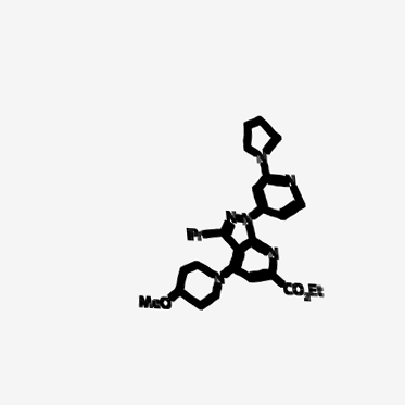 CCOC(=O)c1cc(N2CCC(OC)CC2)c2c(C(C)C)nn(-c3ccnc(N4CCCC4)c3)c2n1